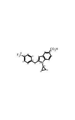 O=C(O)c1ccc2c(c1)cc(Cc1ccc(C(F)(F)F)cc1)n2C1CC1